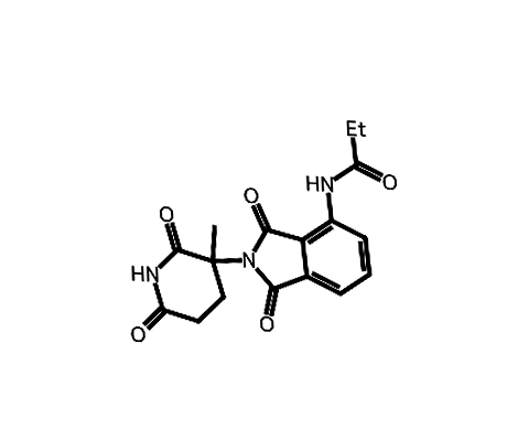 CCC(=O)Nc1cccc2c1C(=O)N(C1(C)CCC(=O)NC1=O)C2=O